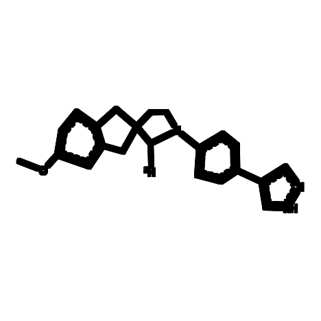 [2H]C1N(c2ccc(-c3cn[nH]c3)cc2)CCC12Cc1ccc(OC)cc1C2